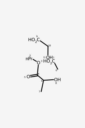 CC(=O)O.CCCOC(=O)C(C)O.O=C(O)CO